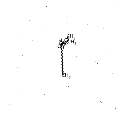 CCCCCCCCCCCCCCCCCCOC(=O)C(=O)OOOC(C)(C)CCC